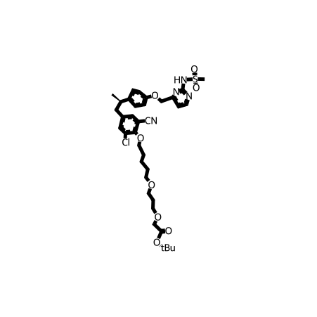 C[C@H](Cc1cc(Cl)c(OCCCCCOCCCOCC(=O)OC(C)(C)C)c(C#N)c1)c1ccc(OCc2ccnc(NS(C)(=O)=O)n2)cc1